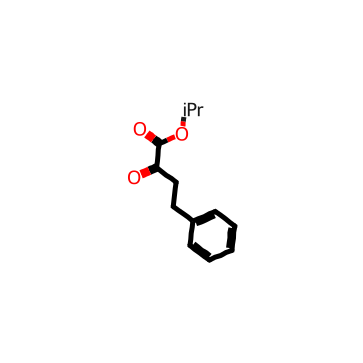 CC(C)OC(=O)C(=O)CCc1ccccc1